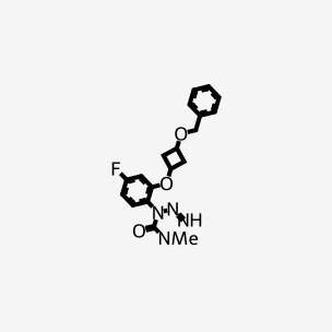 CNC(=O)N(N=N)c1ccc(F)cc1OC1CC(OCc2ccccc2)C1